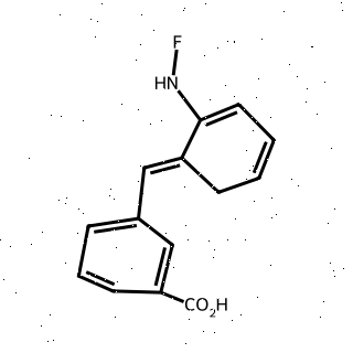 O=C(O)c1cccc(C=C2CC=CC=C2NF)c1